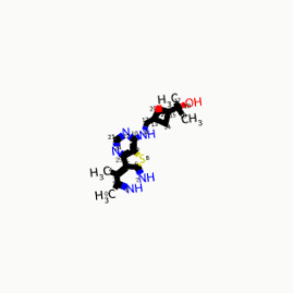 CC(=N)/C(C)=C1\C(=N)Sc2c(NCC34CC(C(C)(C)O)(C3)C4)ncnc21